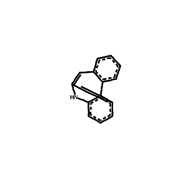 C1=Cc2cccc3c2-c2ccccc2C=C1N3